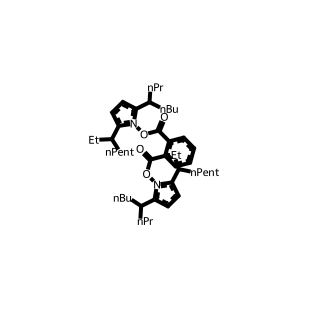 CCCCCC(CC)c1ccc(C(CCC)CCCC)n1OC(=O)c1ccccc1C(=O)On1c(C(CC)CCCCC)ccc1C(CCC)CCCC